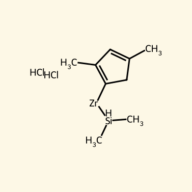 CC1=CC(C)=[C]([Zr][SiH](C)C)C1.Cl.Cl